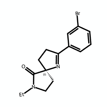 CCN1CC[C@@]2(CCC(c3cccc(Br)c3)=N2)C1=O